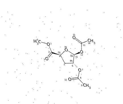 COC(=O)[C@@H]1C[C@@H](OC(C)=O)[C@H](OC(C)=O)O1